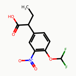 CCC(C(=O)O)c1ccc(OC(F)F)c([N+](=O)[O-])c1